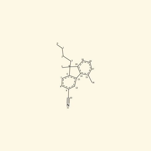 CCCCC1(C)c2ccc(C#N)cc2-c2c(C)cccc21